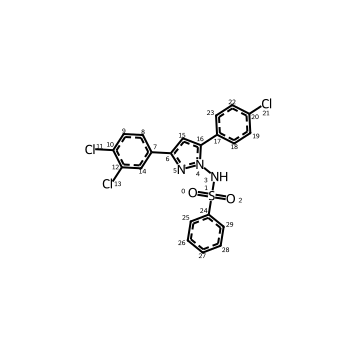 O=S(=O)(Nn1nc(-c2ccc(Cl)c(Cl)c2)cc1-c1ccc(Cl)cc1)c1ccccc1